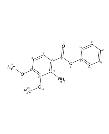 COc1ccc(C(=O)Oc2ccccc2)c(N)c1OC